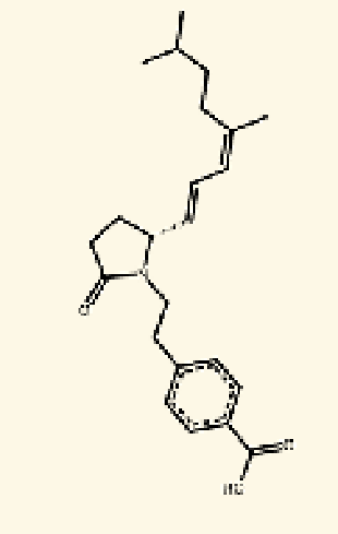 CC(=CC=C[C@H]1CCC(=O)N1CCc1ccc(C(=O)O)cc1)CCC(C)C